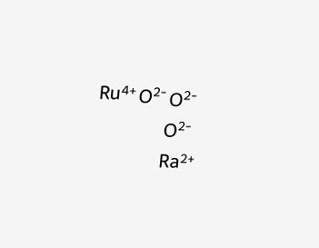 [O-2].[O-2].[O-2].[Ra+2].[Ru+4]